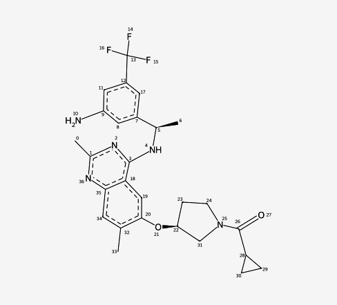 Cc1nc(N[C@H](C)c2cc(N)cc(C(F)(F)F)c2)c2cc(O[C@H]3CCN(C(=O)C4CC4)C3)c(C)cc2n1